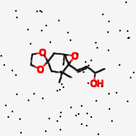 CC(O)/C=C/C12OC1(C)CC1(CC2(C)C)OCCO1